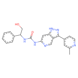 Cc1cc(-c2n[nH]c3cc(NC(=O)NC(CO)c4ccccc4)ncc23)ccn1